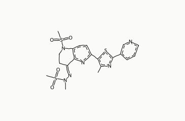 Cc1nc(-c2cccnc2)sc1-c1ccc2c(n1)/C(=N/N(C)S(C)(=O)=O)CCN2S(C)(=O)=O